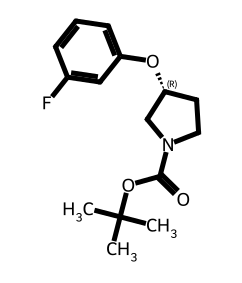 CC(C)(C)OC(=O)N1CC[C@@H](Oc2cccc(F)c2)C1